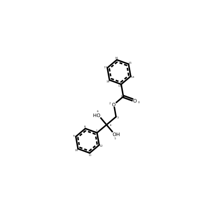 O=C(OCC(O)(O)c1ccccc1)c1ccccc1